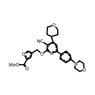 COC(=O)c1cc(COc2nc(-c3ccc(N4CCOCC4)cc3)cc(C3CCOCC3)c2C#N)co1